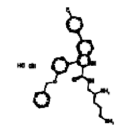 Cl.Cl.NCCCC(N)CNC(=O)c1[nH]c2ccc(-c3ccc(F)cc3)cc2c1-c1cccc(OCc2ccccc2)c1